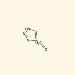 C=O.c1c[nH]nn1